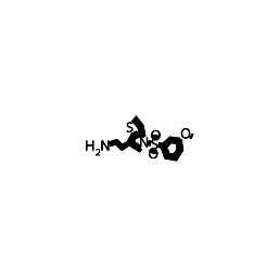 COc1cccc(S(=O)(=O)n2cc(CCN)c3sccc32)c1